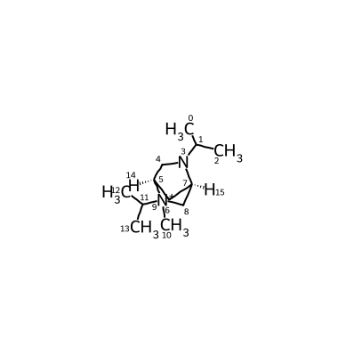 CC(C)N1C[C@H]2C[C@@H]1C[N+]2(C)C(C)C